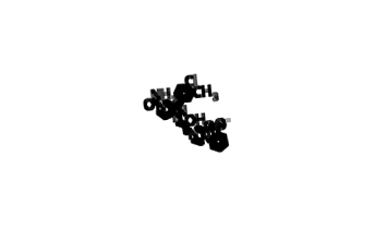 Cc1cc(-c2nn(CC(O)CN3CCN(c4ccccc4[N+](=O)[O-])CC3)c3c2CN(C(N)=O)CC3)ccc1Cl